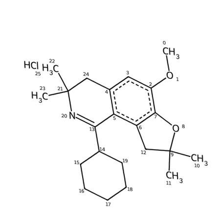 COc1cc2c(c3c1OC(C)(C)C3)C(C1CCCCC1)=NC(C)(C)C2.Cl